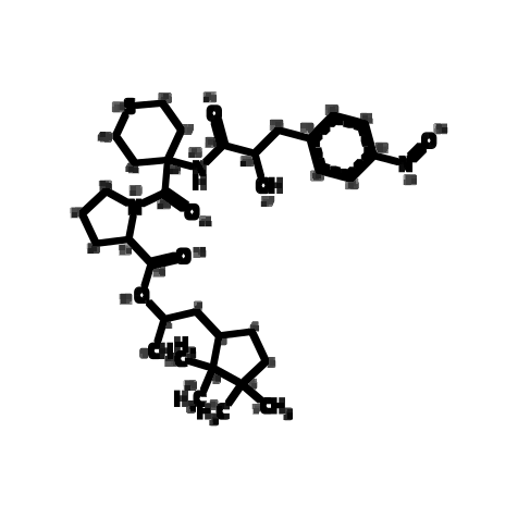 CC(CC1CCC(C)(C)C1(C)C)OC(=O)C1CCCN1C(=O)C1(NC(=O)C(O)Cc2ccc(N=O)cc2)CCSCC1